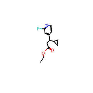 CCOC(=O)CC(c1ccnc(F)c1)C1CC1